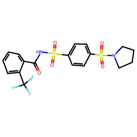 O=C(NS(=O)(=O)c1ccc(S(=O)(=O)N2CCCC2)cc1)c1ccccc1C(F)(F)F